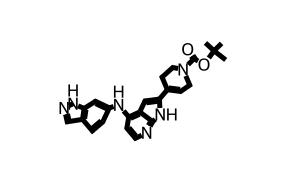 CC(C)(C)OC(=O)N1CC=C(c2cc3c(Nc4ccc5cn[nH]c5c4)ccnc3[nH]2)CC1